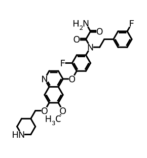 COc1cc2c(Oc3ccc(N(CCc4cccc(F)c4)C(=O)C(N)=O)cc3F)ccnc2cc1OCC1CCNCC1